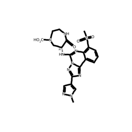 Cn1cc(-c2nc3c4cccc(S(C)(=O)=O)c4nc(N[C@@H]4CN(C(=O)O)CCNC4=O)n3n2)cn1